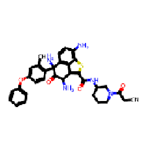 Cc1cc(Oc2ccccc2)ccc1C1(N)C(=O)C(N)c2c(C(=O)NC3CCCN(C(=O)CC#N)C3)sc3c(N)ccc1c23